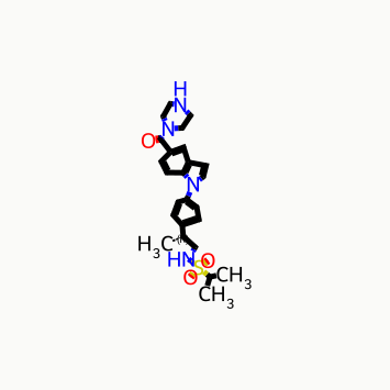 CC(C)S(=O)(=O)NC[C@H](C)c1ccc(-n2ccc3cc(C(=O)N4CCNCC4)ccc32)cc1